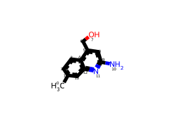 Cc1ccc2c(CO)cc(N)nc2c1